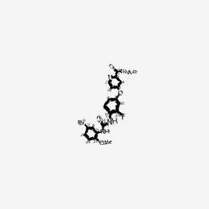 CNC(=O)c1cc(Oc2ccc(NC(=O)Nc3cc(Br)ccc3OC)c(F)c2)ccn1